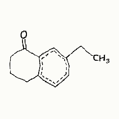 CCc1ccc2c(c1)C(=O)CCC2